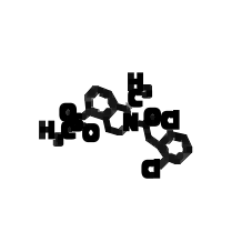 C[C@H]1c2cccc(S(C)(=O)=O)c2CCN1C(=O)Cc1c(Cl)cccc1Cl